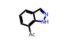 CC(=O)c1cccc2cn[nH]c12